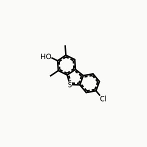 Cc1cc2c(sc3cc(Cl)ccc32)c(C)c1O